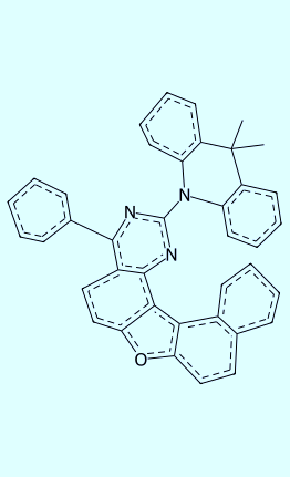 CC1(C)c2ccccc2N(c2nc(-c3ccccc3)c3ccc4oc5ccc6ccccc6c5c4c3n2)c2ccccc21